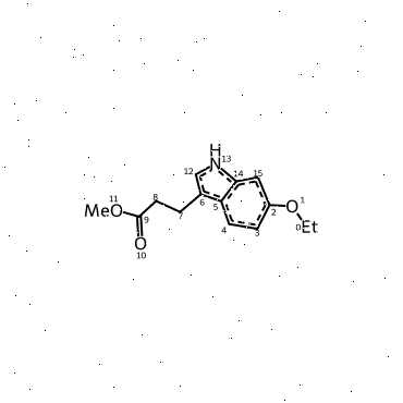 CCOc1ccc2c(CCC(=O)OC)c[nH]c2c1